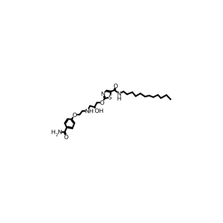 CCCCCCCCCCCCNC(=O)c1cnc(OCC(O)CNCCOc2ccc(C(N)=O)cc2)s1